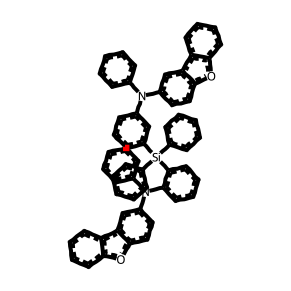 c1ccc(N(c2cccc([Si](c3ccccc3)(c3ccccc3)c3ccccc3N(c3ccccc3)c3ccc4oc5ccccc5c4c3)c2)c2ccc3oc4ccccc4c3c2)cc1